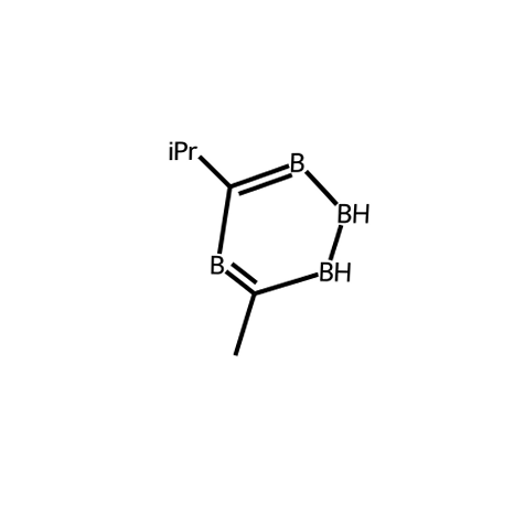 CC1=BC(C(C)C)=BBB1